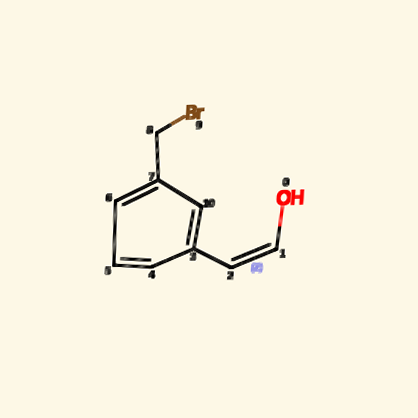 O/C=C\c1cccc(CBr)c1